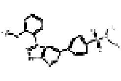 COc1ccccc1-c1n[nH]c2ncc(-c3ccc(S(=O)(=O)N(C)C)cc3)cc12